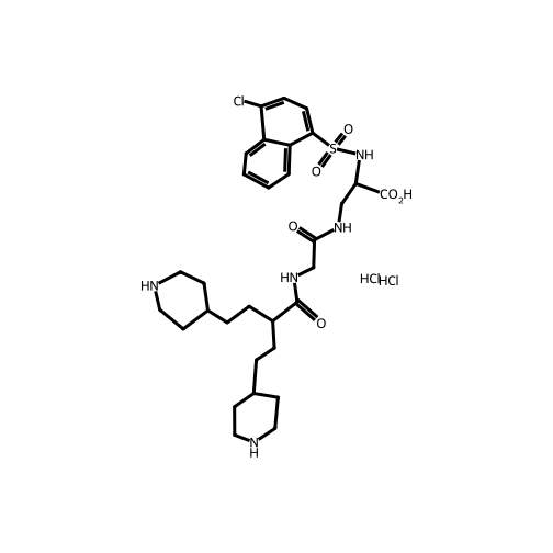 Cl.Cl.O=C(CNC(=O)C(CCC1CCNCC1)CCC1CCNCC1)NCC(NS(=O)(=O)c1ccc(Cl)c2ccccc12)C(=O)O